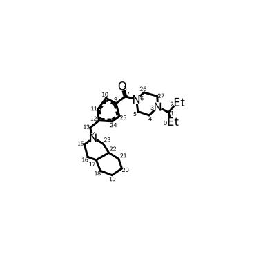 CCC(CC)N1CCN(C(=O)c2ccc(CN3CCC4CCCCC4C3)cc2)CC1